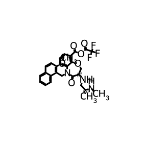 CN[C@@H](C)CN[C@H]1COc2c(C(=O)OC(=O)C(F)(F)F)cccc2N(Cc2c(OC)ccc3ccccc23)C1=O